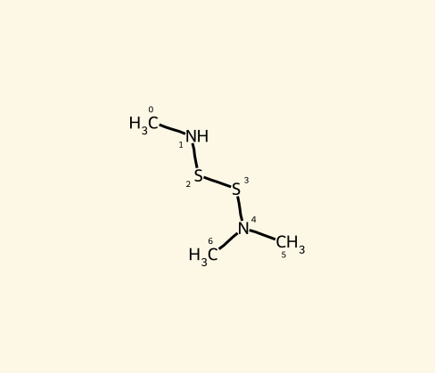 CNSSN(C)C